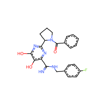 N=C(NCc1ccc(F)cc1)c1nc(C2CCCN2C(=O)c2ccccc2)nc(O)c1O